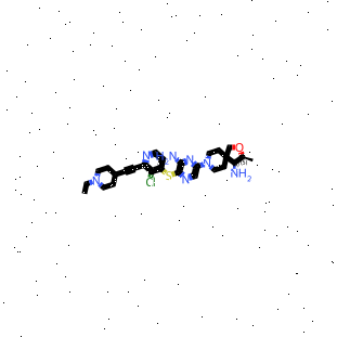 CCN1CCC(C#Cc2nccc(Sc3ncc(N4CCC5(CC4)CO[C@@H](C)[C@H]5N)nc3N)c2Cl)CC1